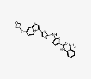 Nc1ccccc1NC(=O)c1ccc(Nc2ncc(-c3cnc4cc(OC5COC5)ccn34)s2)s1